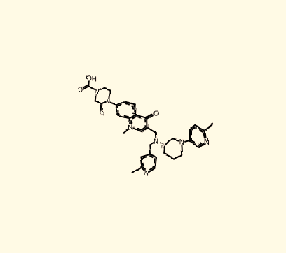 Cc1ccc(N2CCC[C@H](N(Cc3ccnc(C)c3)Cc3cn(C)c4cc(N5CCN(C(=O)O)CC5=O)ccc4c3=O)C2)cn1